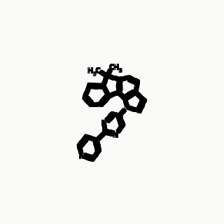 CC1(C)c2ccccc2-c2c1ccc1ccn(-c3cnc(-c4ccncc4)nc3)c21